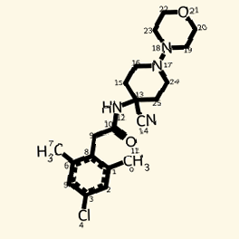 Cc1cc(Cl)cc(C)c1CC(=O)NC1(C#N)CCN(N2CCOCC2)CC1